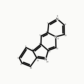 c1ccc2c3cc4cnccn4cc-3nc2c1